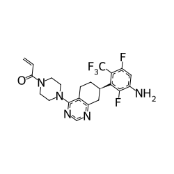 C=CC(=O)N1CCN(c2ncnc3c2CC[C@@H](c2c(F)c(N)cc(F)c2C(F)(F)F)C3)CC1